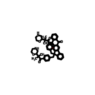 CC(C)(C(=O)c1ccc(CC2(Cc3ccc(C(=O)C(C)(C)C4CNCCO4)cc3)c3ccccc3-c3cc4c(cc32)C(=O)c2ccccc2C4=O)cc1)C1CNCCO1